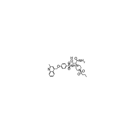 CCCS(=O)(=O)N1CCN(C(C(N)=O)C(O)NS(=O)(=O)c2ccc(OCc3cc(C)nc4ccccc34)cc2)CC1